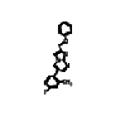 Cc1cc(F)ncc1-c1cnc2nc(COc3ccccc3)cn2c1